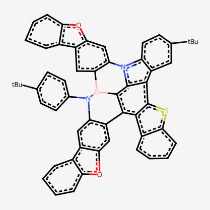 CC(C)(C)c1ccc(N2B3c4cc5c(cc4-n4c6ccc(C(C)(C)C)cc6c6c7sc8ccccc8c7c(c3c64)-c3cc4oc6ccccc6c4cc32)oc2ccccc25)cc1